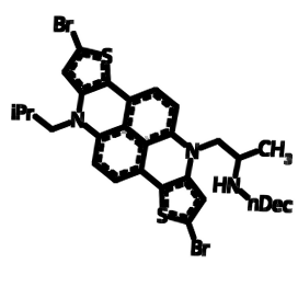 CCCCCCCCCCNC(C)CN1c2cc(Br)sc2-c2ccc3c4c(ccc1c24)-c1sc(Br)cc1N3CC(C)C